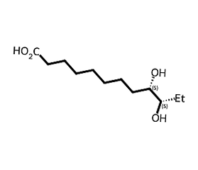 CC[C@H](O)[C@@H](O)CCCCCCCC(=O)O